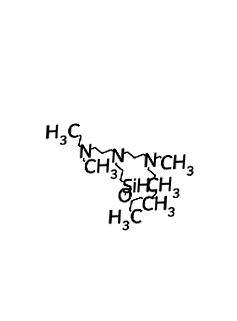 CCCN(CC)CCCN(CCC[SiH2]OC(CC)CC)CCCN(CC)CCC